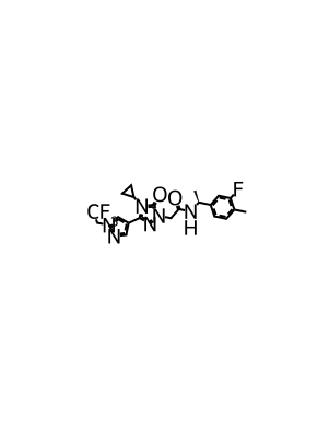 Cc1ccc([C@H](C)NC(=O)Cn2nc(-c3cnn(CC(F)(F)F)c3)n(C3CC3)c2=O)cc1F